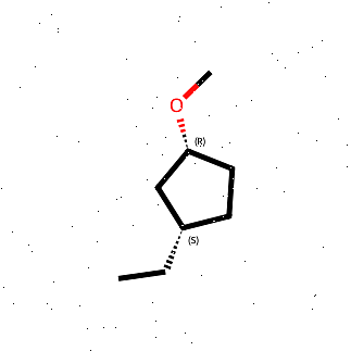 CC[C@H]1CC[C@@H](OC)C1